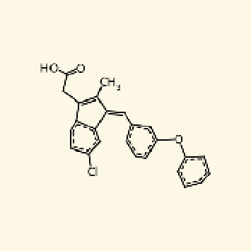 CC1=C(CC(=O)O)c2ccc(Cl)cc2/C1=C\c1cccc(Oc2ccccc2)c1